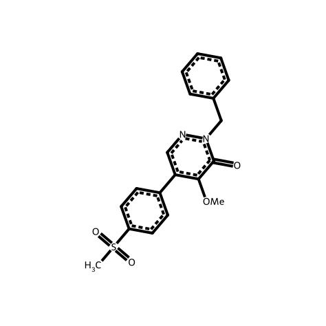 COc1c(-c2ccc(S(C)(=O)=O)cc2)cnn(Cc2ccccc2)c1=O